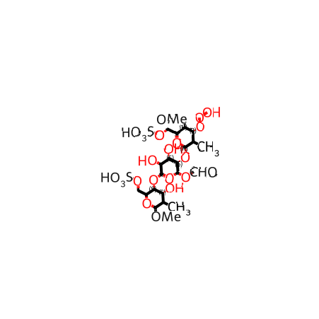 COC1OC(COS(=O)(=O)O)[C@@H](OC2OC(OC=O)[C@@H](O[C@H]3OC(COS(=O)(=O)O)[C@@H](OC)[C@H](OOO)C3C)[C@@H](O)C2O)[C@H](O)C1C